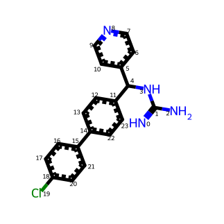 N=C(N)NC(c1ccncc1)c1ccc(-c2ccc(Cl)cc2)cc1